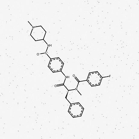 CN1CCC(N[S+]([O-])c2ccc(NC(=O)[C@H](Cc3ccccc3)N(C)C(=O)c3ccc(F)cc3)cc2)CC1